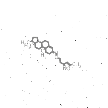 Cc1cc(CCON=C2C=C3CCC4C(CC[C@@]5(C)C4CC[C@@H]5C)[C@@]3(C)CC2)no1